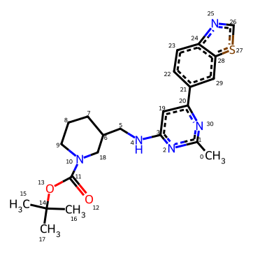 Cc1nc(NCC2CCCN(C(=O)OC(C)(C)C)C2)cc(-c2ccc3ncsc3c2)n1